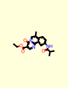 CCOC(=O)c1cnc2c3cc(NC(=O)C(C)C)ccc3c(C)cn2c1=O